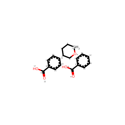 C1CC[SiH2]OC1.O=C(O)c1ccccc1.O=C(O)c1ccccc1